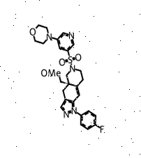 COC[C@]12Cc3cnn(-c4ccc(F)cc4)c3C=C1CCN(S(=O)(=O)c1cncc(N3CCOCC3)c1)C2